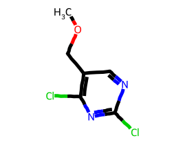 COCc1cnc(Cl)nc1Cl